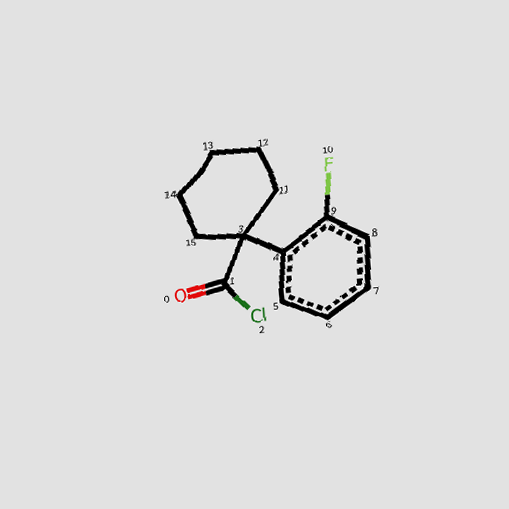 O=C(Cl)C1(c2ccccc2F)CCCCC1